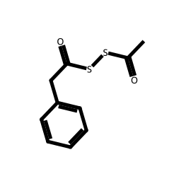 CC(=O)SSC(=O)Cc1ccccc1